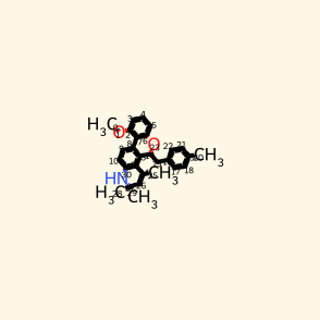 COc1cccc2c1-c1ccc3c(c1C(Cc1ccc(C)cc1)O2)C(C)=CC(C)(C)N3